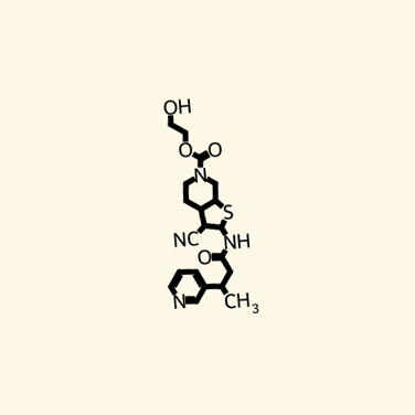 CC(CC(=O)NC1SC2CN(C(=O)OCCO)CCC2C1C#N)c1cccnc1